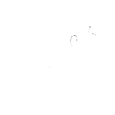 CC(C)[O].[Ni]